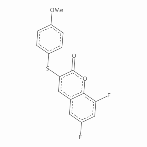 COc1ccc(Sc2cc3cc(F)cc(F)c3oc2=O)cc1